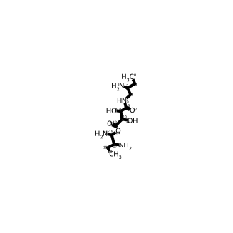 CCC(N)CNC(=O)C(O)C(O)C(=O)OC(N)C(N)CC